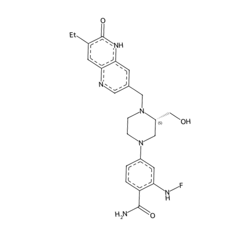 CCc1cc2ncc(CN3CCN(c4ccc(C(N)=O)c(NF)c4)C[C@H]3CO)cc2[nH]c1=O